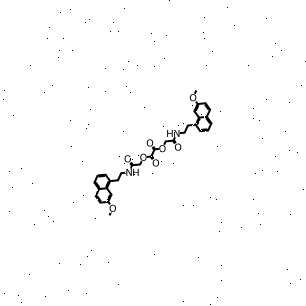 COc1ccc2cccc(CCNC(=O)COC(=O)C(=O)OCC(=O)NCCc3cccc4ccc(OC)cc34)c2c1